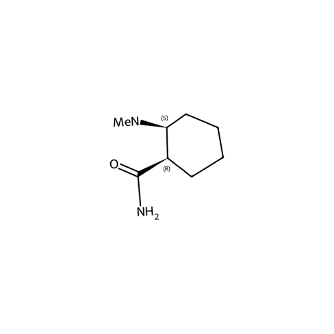 CN[C@H]1CCCC[C@H]1C(N)=O